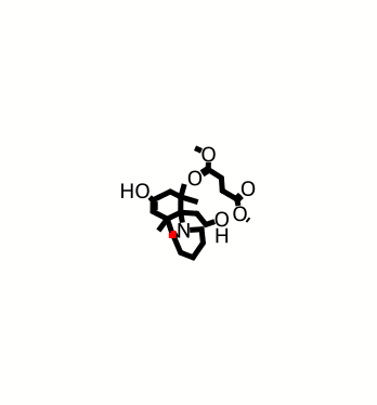 CC1(C)C=C(O)CC(C)(C)C1(CCO)N1CCCCC1.COC(=O)CCC(=O)OC